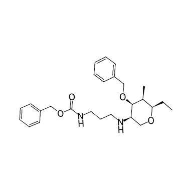 CC[C@H]1OC[C@@H](NCCCNC(=O)OCc2ccccc2)[C@@H](OCc2ccccc2)[C@H]1C